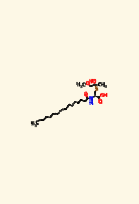 CCCCCCCCCCCCCCCC(=O)N[C@@H](CSC(C)(O)COC)C(=O)O